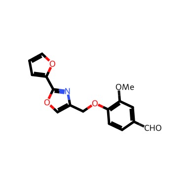 COc1cc(C=O)ccc1OCc1coc(-c2ccco2)n1